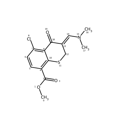 COC(=O)c1ccc(Cl)c2c1SCC(=CN(C)C)C2=O